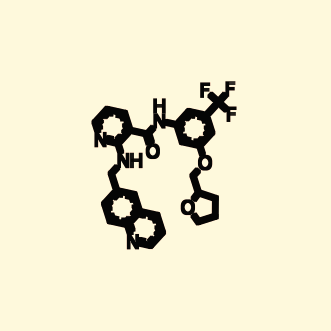 O=C(Nc1cc(OCC2CCCO2)cc(C(F)(F)F)c1)c1cccnc1NCc1ccc2ncccc2c1